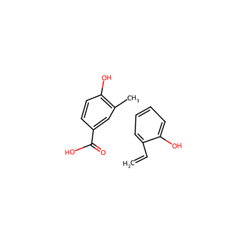 C=Cc1ccccc1O.Cc1cc(C(=O)O)ccc1O